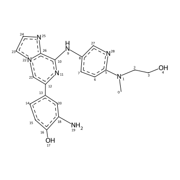 CN(CCO)c1ccc(Nc2nc(-c3ccc(O)c(N)c3)cn3ccnc23)cn1